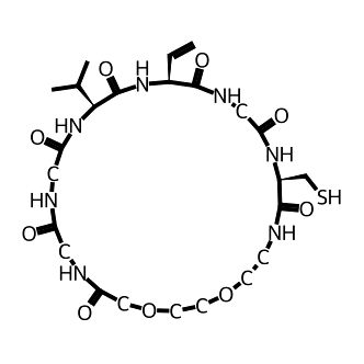 C=C[C@@H]1NC(=O)[C@H](C(C)C)NC(=O)CNC(=O)CNC(=O)COCCOCCNC(=O)[C@H](CS)NC(=O)CNC1=O